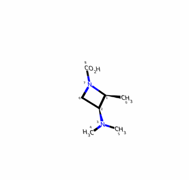 C[C@H]1[C@@H](N(C)C)CN1C(=O)O